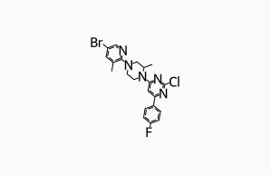 Cc1cc(Br)cnc1N1CCN(c2cc(-c3ccc(F)cc3)nc(Cl)n2)C(C)C1